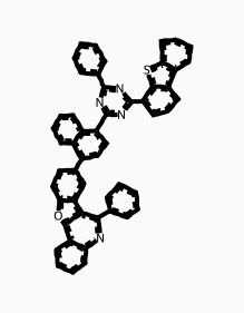 c1ccc(-c2nc(-c3ccc(-c4ccc5oc6c7ccccc7nc(-c7ccccc7)c6c5c4)c4ccccc34)nc(-c3cccc4c3sc3ccccc34)n2)cc1